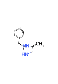 C=C1CNC[C@@H](Cc2ccccc2)N1